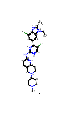 CCN1CCC(N2CCc3nc(Nc4ncc(F)c(-c5cc(F)c6nc(C)n(CC(C)C)c6c5)n4)ccc3C2)CC1